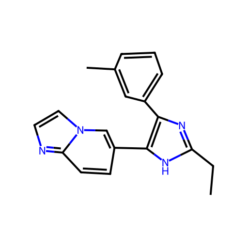 CCc1nc(-c2cccc(C)c2)c(-c2ccc3nccn3c2)[nH]1